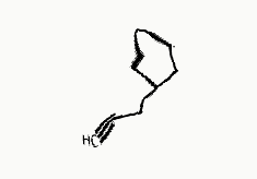 C#CCC1C[CH]CC1